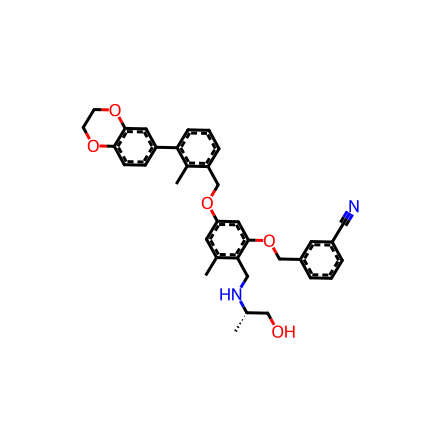 Cc1cc(OCc2cccc(-c3ccc4c(c3)OCCO4)c2C)cc(OCc2cccc(C#N)c2)c1CN[C@@H](C)CO